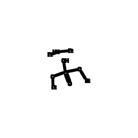 CCNCC.CCOP(=O)(O)OCC